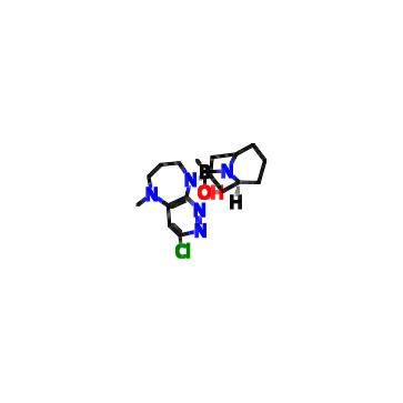 CB(O)N1C2CCC[C@H]1C[C@H](N1CCCN(C)c3cc(Cl)nnc31)C2